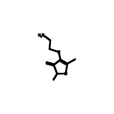 CC1=C(OCCN)C(=O)C(C)O1